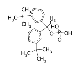 CC(C)(C)c1cccc(C(C)(OP(=O)(O)O)c2cccc(C(C)(C)C)c2)c1